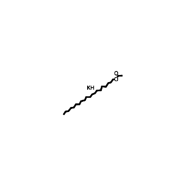 CCCCCCCCCCCCCCCCCCCCOC(C)=O.[KH]